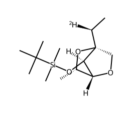 [2H][C@@H](C)[C@]12CO[C@H]([C@H](C)O1)[C@H]2O[Si](C)(C)C(C)(C)C